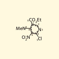 CCOC(=O)c1cnc(Cl)c([N+](=O)[O-])c1NC